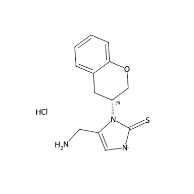 Cl.NCC1=C[N]C(=S)N1[C@H]1COc2ccccc2C1